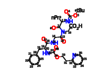 CCCC(NC(=O)OC(C)(C)C)C(=O)N(CC(=O)O)C(=O)CNC(=O)[C@H](Cc1ccccc1)NC(=O)OCCc1ccccn1